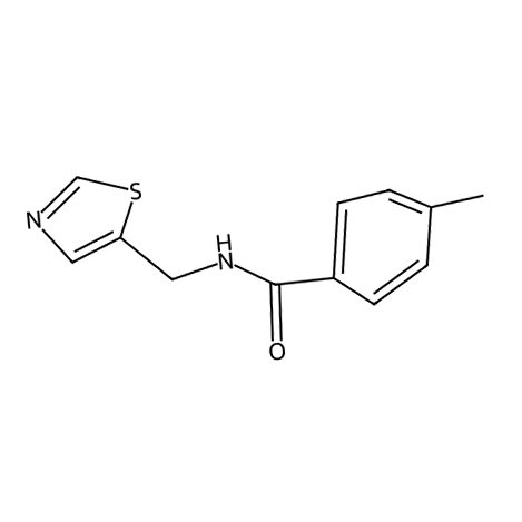 Cc1ccc(C(=O)NCc2cncs2)cc1